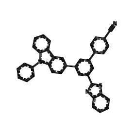 N#Cc1ccc(-c2cc(-c3ccc4c(c3)c3ccccc3n4-c3ccccc3)cc(-c3nc4ccccc4s3)c2)cc1